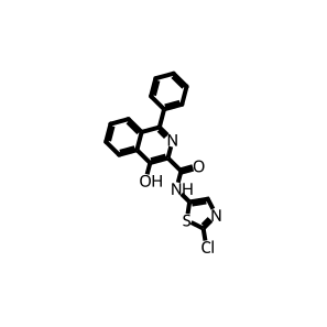 O=C(Nc1cnc(Cl)s1)c1nc(-c2ccccc2)c2ccccc2c1O